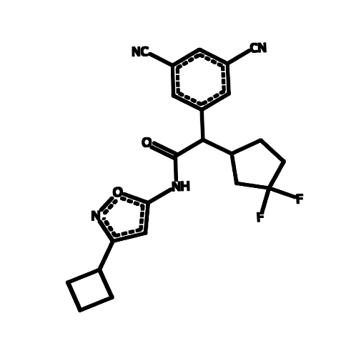 N#Cc1cc(C#N)cc(C(C(=O)Nc2cc(C3CCC3)no2)C2CCC(F)(F)C2)c1